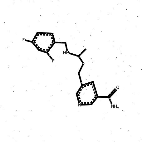 CC(CCc1[c]ncc(C(N)=O)c1)NCc1ccc(F)cc1F